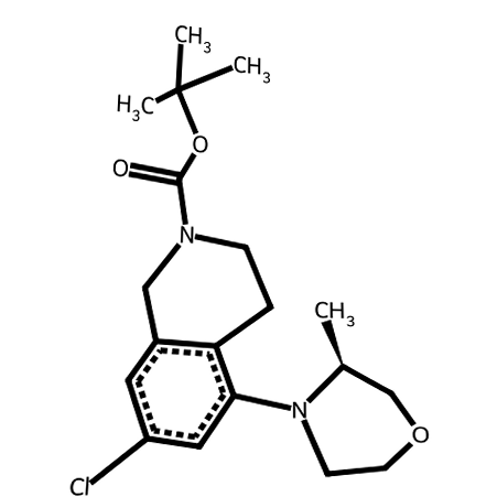 C[C@H]1COCCN1c1cc(Cl)cc2c1CCN(C(=O)OC(C)(C)C)C2